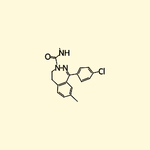 CNC(=O)N1CCc2ccc(C)cc2C(c2ccc(Cl)cc2)=N1